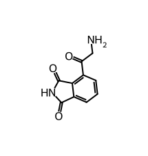 NCC(=O)c1cccc2c1C(=O)NC2=O